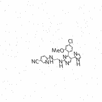 COc1cc(Cl)ccc1-c1nc(NCCNc2ccc(C#N)cn2)ncc1-c1ncc[nH]1